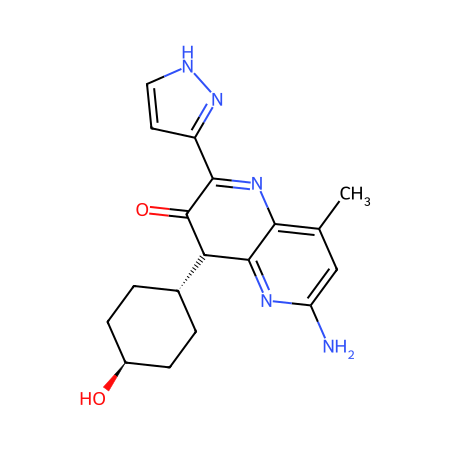 Cc1cc(N)nc2c1N=C(c1cc[nH]n1)C(=O)C2[C@H]1CC[C@H](O)CC1